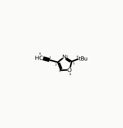 C#Cc1coc(C(C)(C)C)n1